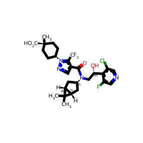 CC1(C)[C@@H]2C[C@H](N(C[C@H](O)c3c(F)cncc3Cl)C(=O)c3cnn([C@H]4CC[C@](C)(C(=O)O)CC4)c3C(F)(F)F)C[C@@H]21